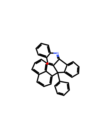 c1ccc(C2(c3cccc4ccccc34)c3ccccc3-c3nc4ccccc4cc32)cc1